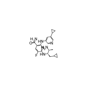 C[C@H](N)[C@@H](CC1CC1)Nc1nc(Nc2cncc(C3CC3)c2)c(C(N)=O)cc1F